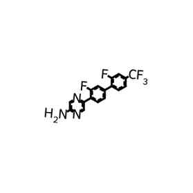 Nc1cnc(-c2ccc(-c3ccc(C(F)(F)F)cc3F)cc2F)cn1